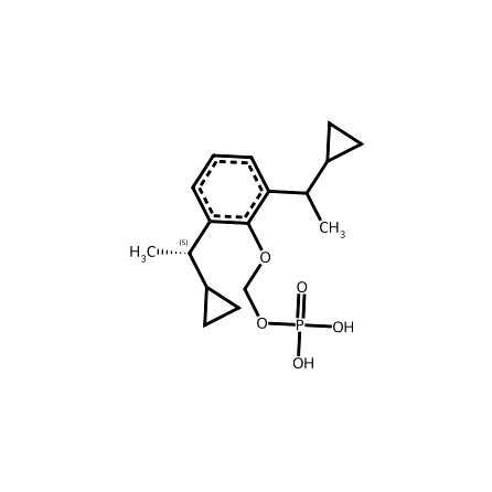 CC(c1cccc([C@@H](C)C2CC2)c1OCOP(=O)(O)O)C1CC1